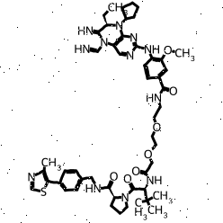 CC[C@@H]1C(=N)N(C=N)c2cnc(Nc3ccc(C(=O)NCCOCCOCC(=O)N[C@H](C(=O)N4CCC[C@H]4C(=O)NCc4ccc(-c5scnc5C)cc4)C(C)(C)C)cc3OC)nc2N1C1CCCC1